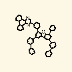 c1ccc(-c2cccc(-c3cc(-c4ccccc4)c4oc5c(-c6cccc(-c7cnc8c9ccccc9c9ccccc9c8n7)c6)cc(-c6cccc(-c7ccccc7)c6)cc5c4c3)c2)cc1